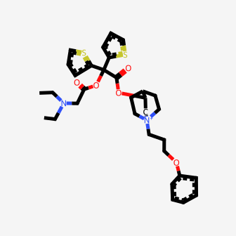 CCN(CC)CC(=O)OC(C(=O)OC1C[N+]2(CCCOc3ccccc3)CCC1CC2)(c1cccs1)c1cccs1